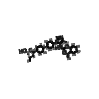 C=CC[C@@H](C(=O)O)c1ccc(-c2ccc(-n3nnc(C)c3NC(=O)OC(C)c3ccccc3)cc2)cc1